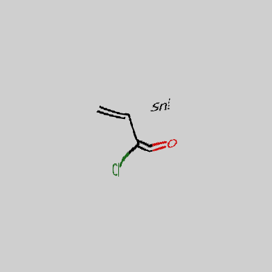 C=CC(=O)Cl.[Sn]